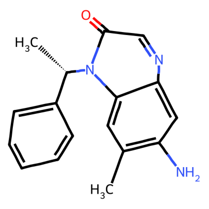 Cc1cc2c(cc1N)ncc(=O)n2[C@@H](C)c1ccccc1